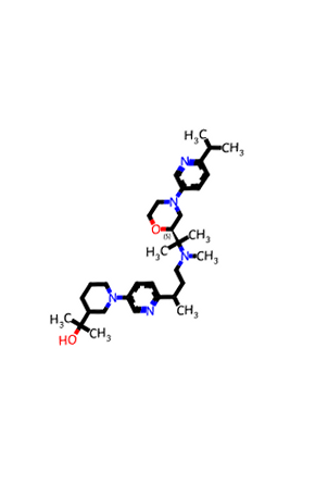 CC(C)c1ccc(N2CCO[C@H](C(C)(C)N(C)CCC(C)c3ccc(N4CCCC(C(C)(C)O)C4)cn3)C2)cn1